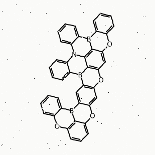 c1ccc2c(c1)Oc1cccc3c1B2c1cc2c(cc1O3)Oc1cc3c4c5c1B2c1ccccc1N5c1ccccc1B4c1ccccc1O3